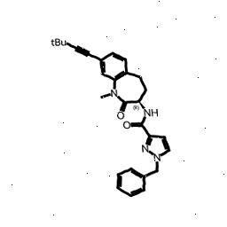 CN1C(=O)[C@H](NC(=O)c2ccn(Cc3ccccc3)n2)CCc2ccc(C#CC(C)(C)C)cc21